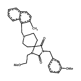 COCCN1C(=O)N(Cc2cccc(OC)c2)C(=O)C12CCN(Cc1c(C)ccc3ccccc13)CC2